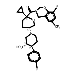 O=C(O)[C@@H]1CN([C@@H]2CC[C@@](C(=O)N3COc4c(F)cc(C(F)(F)F)cc4C3)(C3CC3)OC2)CC[C@H]1c1ccc(F)cc1